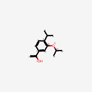 C=C(O)c1ccc(C(C)C)c(OC(C)C)c1